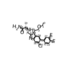 CCOCCn1c(CN[C@@H](C)C(N)=O)nc2cc(Cl)c(-c3ccc(F)c(F)c3)cc21